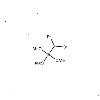 CCC(Br)[Si](OC)(OC)OC